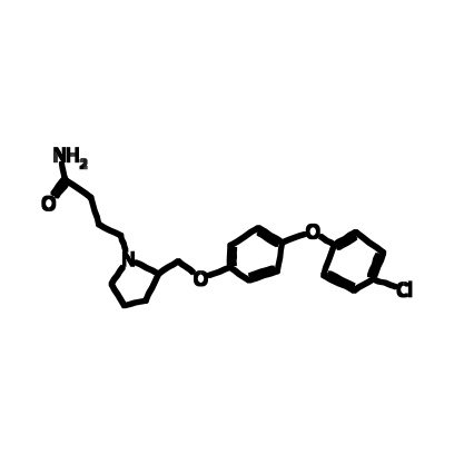 NC(=O)CCCN1CCCC1COc1ccc(Oc2ccc(Cl)cc2)cc1